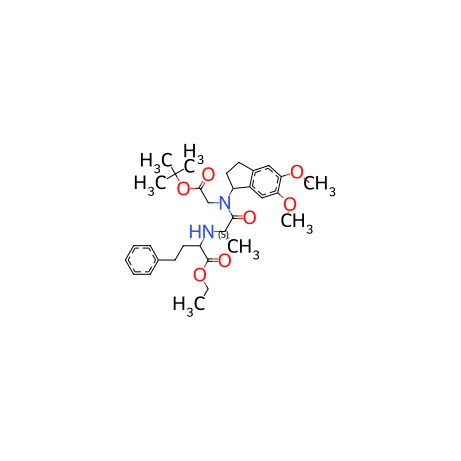 CCOC(=O)C(CCc1ccccc1)N[C@@H](C)C(=O)N(CC(=O)OC(C)(C)C)C1CCc2cc(OC)c(OC)cc21